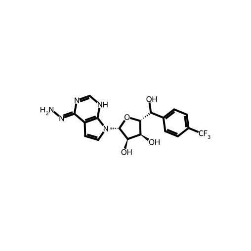 N/N=c1\nc[nH]c2c1ccn2[C@@H]1O[C@H](C(O)c2ccc(C(F)(F)F)cc2)[C@@H](O)[C@H]1O